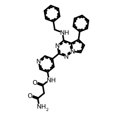 NC(=O)CC(=O)Nc1cncc(-c2nc(NCc3ccccc3)c3c(-c4ccccc4)ccn3n2)c1